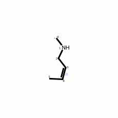 [CH2]NC/C=C\C